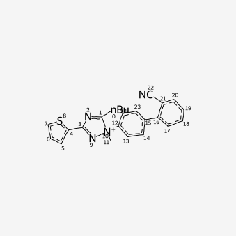 CCCCC1=NC(c2cccs2)=N[N+]1(C)c1ccc(-c2ccccc2C#N)cc1